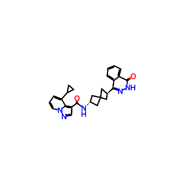 O=C(N[C@H]1CC2(C1)C[C@H](c1n[nH]c(=O)c3ccccc31)C2)c1cnn2cccc(C3CC3)c12